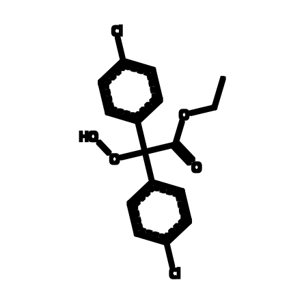 CCOC(=O)C(OO)(c1ccc(Cl)cc1)c1ccc(Cl)cc1